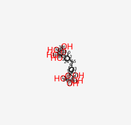 Cc1cc(C2CC2c2ccc([C@H]3O[C@H](CO)[C@@H](O)[C@H](O)[C@@H]3O)cc2)ccc1[C@H]1O[C@H](CO)[C@@H](O)[C@H](O)[C@H]1O